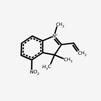 C=CC1=[N+](C)c2cccc([N+](=O)[O-])c2C1(C)C